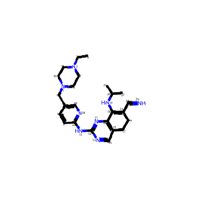 CCN1CCN(Cc2ccc(Nc3ncc4c(n3)C(NC(C)C)=C(C=N)CC4)nc2)CC1